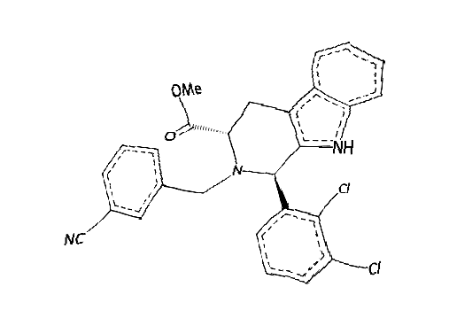 COC(=O)[C@@H]1Cc2c([nH]c3ccccc23)[C@@H](c2cccc(Cl)c2Cl)N1Cc1cccc(C#N)c1